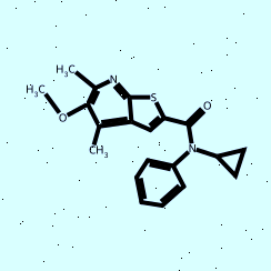 COc1c(C)nc2sc(C(=O)N(c3ccccc3)C3CC3)cc2c1C